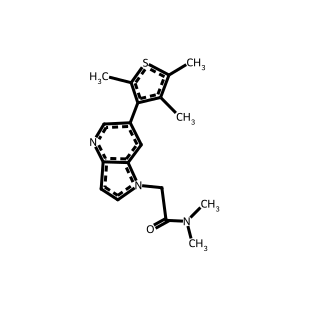 Cc1sc(C)c(-c2cnc3ccn(CC(=O)N(C)C)c3c2)c1C